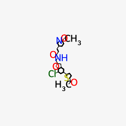 COc1ccc(C=CC(=O)NCC2Cc3cc(-c4ccc(C(C)=O)s4)cc(Cl)c3O2)cn1